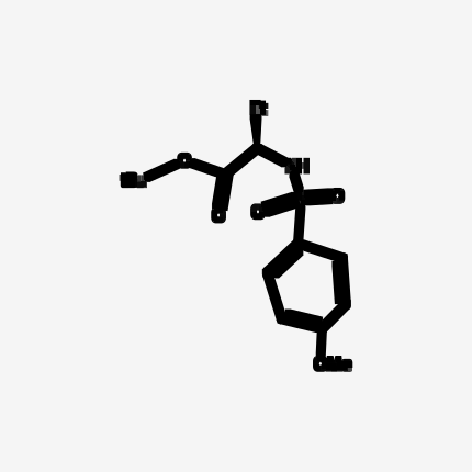 CC[C@@H](NS(=O)(=O)c1ccc(OC)cc1)C(=O)OC(C)(C)C